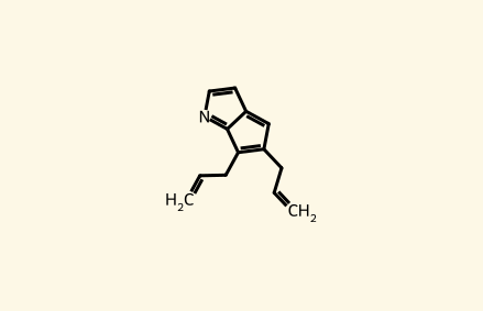 C=CCC1=C(CC=C)C2=NC=CC2=C1